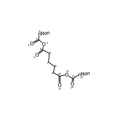 CCCCCCCCCC(=O)OC(=O)CCCCC(=O)OC(=O)CCCCCCCCC